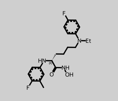 CCN(CCCC[C@@H](Nc1ccc(F)c(C)c1)C(=O)NO)c1ccc(F)cc1